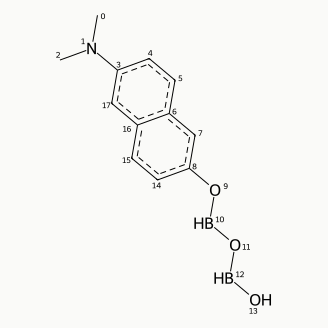 CN(C)c1ccc2cc(OBOBO)ccc2c1